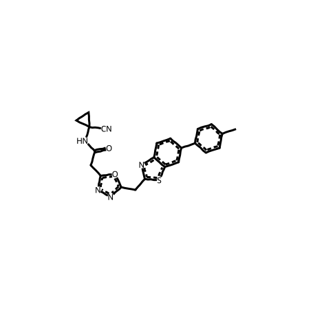 Cc1ccc(-c2ccc3nc(Cc4nnc(CC(=O)NC5(C#N)CC5)o4)sc3c2)cc1